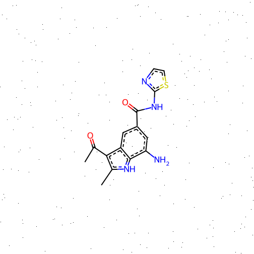 CC(=O)c1c(C)[nH]c2c(N)cc(C(=O)Nc3nccs3)cc12